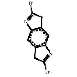 CCC1=Nc2cc3c(cc2C1)N=C(C)C3